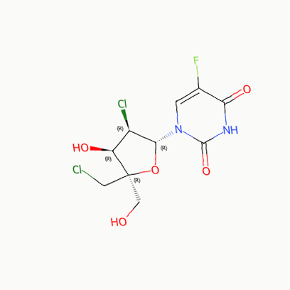 O=c1[nH]c(=O)n([C@@H]2O[C@@](CO)(CCl)[C@@H](O)[C@H]2Cl)cc1F